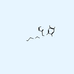 Cc1cc(O[C@H](CCNCCO)c2ccon2)c(C#N)cc1F